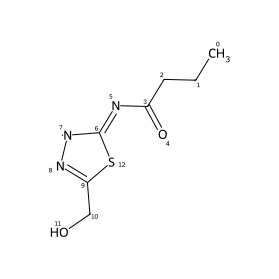 CCCC(=O)N=C1[N]N=C(CO)S1